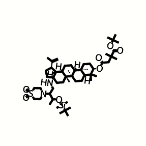 C=C(C)[C@@H]1CC[C@]2(NCC(C(C)O[Si](C)(C)C(C)(C)C)N3CCS(=O)(=O)CC3)CC[C@]3(C)[C@H](CC[C@@H]4[C@@]5(C)CC[C@H](OC(=O)CC(C)(C)C(=O)OC(C)(C)C)C(C)(C)[C@@H]5CC[C@]43C)[C@@H]12